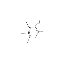 [Li][c]1c(C)cc(C)c(C)c1C